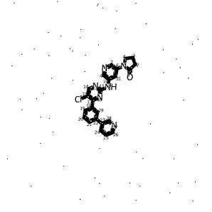 O=C1CCCN1c1cncc(Nc2ncc(Cl)c(-c3cccc(-c4cccnc4)c3)n2)c1